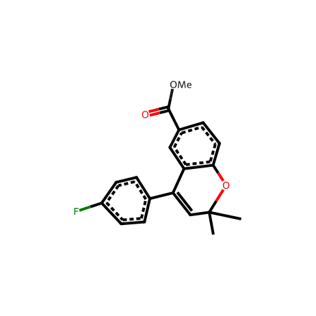 COC(=O)c1ccc2c(c1)C(c1ccc(F)cc1)=CC(C)(C)O2